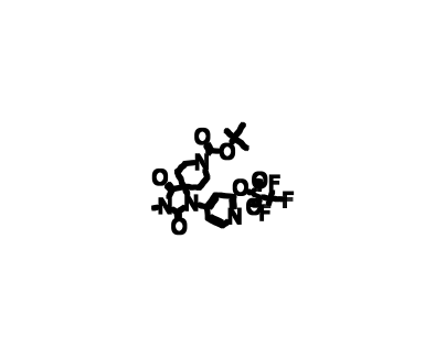 CN1C(=O)N(c2ccnc(OS(=O)(=O)C(F)(F)F)c2)C2(CCN(C(=O)OC(C)(C)C)CC2)C1=O